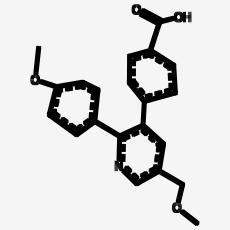 COCc1cnc(-c2ccc(OC)cc2)c(-c2ccc(C(=O)O)cc2)c1